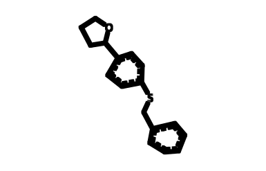 c1ccc(CSc2ccc(C3CCCO3)cc2)cc1